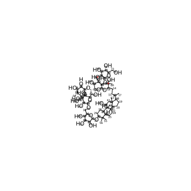 C[C@H]1[C@H](O)[C@@H](O)[C@H](OC[C@H]2O[C@@H](O[C@H](CC[C@@H](C)[C@H]3CC[C@@]4(C)[C@@H]5CC=C6[C@@H](CC[C@H](O[C@@H]7O[C@H](CO[C@@H]8O[C@H](CO)[C@@H](O)[C@H](O)[C@H]8O)[C@@H](O)[C@H](O)[C@H]7O)C6(C)C)[C@]5(C)[C@H](O)C[C@]34C)C(C)(C)O)[C@H](O[C@@H]3O[C@H](CO)[C@@H](O)[C@H](O)[C@H]3O)[C@@H](O)[C@@H]2O)O[C@@H]1CO